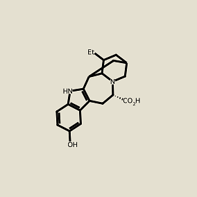 CCC1CC2CC3c4[nH]c5ccc(O)cc5c4C[C@@H](C(=O)O)N(C2)C13